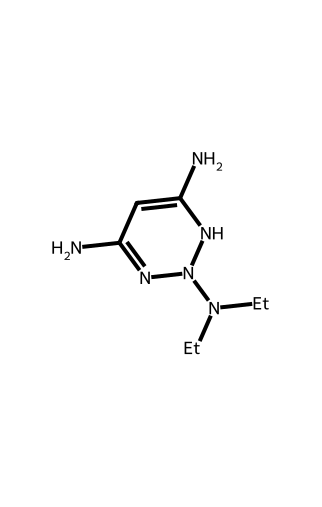 CCN(CC)N1N=C(N)C=C(N)N1